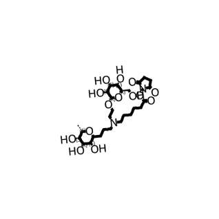 C[C@@H]1OC(CCCN(CCCCCC(=O)ON2C(=O)CCC2=O)CCO[C@@H]2O[C@H](CO)[C@@H](O)[C@H](O)[C@@H]2O)[C@@H](O)[C@H](O)[C@@H]1O